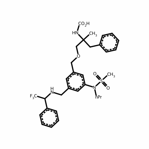 CCCN(c1cc(CNC(c2ccccc2)C(F)(F)F)cc(COCC(C)(Cc2ccccc2)NC(=O)O)c1)S(C)(=O)=O